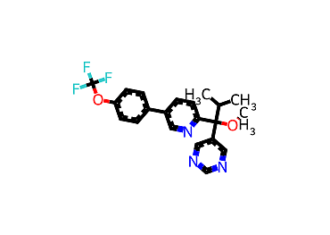 COC(c1cncnc1)(c1ccc(-c2ccc(OC(F)(F)F)cc2)cn1)C(C)C